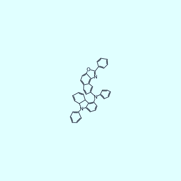 C1=CC2c3c(N(c4ccccc4)c4ccc5ccc6oc(-c7ccccc7)nc6c5c4)cccc3N(c3ccccc3)C2C=C1